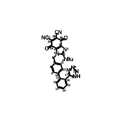 CCCCc1nc2c(n1Cc1ccc(-c3ccccc3-c3nnn[nH]3)cc1)C(=O)C(C#N)=C(C#N)C2=O